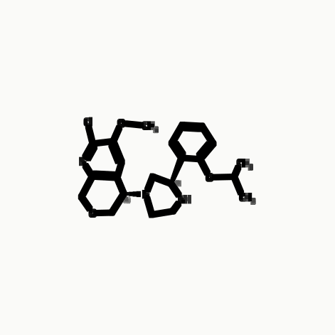 COc1cc2c(nc1Cl)COC[C@H]2N1CCN[C@H](c2ccccc2OC(C)C)C1